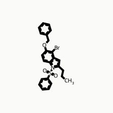 CCCc1cc2c(Br)c(OCc3ccccc3)ccc2n1S(=O)(=O)c1ccccc1